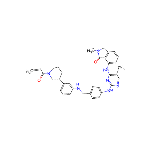 C=CC(=O)N1CCCC(c2cccc(NCc3ccc(Nc4ncc(C(F)(F)F)c(Nc5cccc6c5C(=O)N(C)C6)n4)cc3)c2)C1